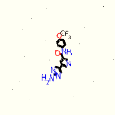 Nc1ncc(-c2cncc(C(=O)Nc3ccc(OC(F)(F)F)cc3)c2)cn1